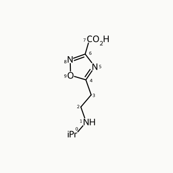 CC(C)NCCc1nc(C(=O)O)no1